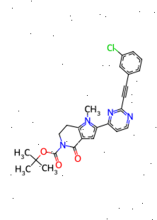 Cn1c(-c2ccnc(C#Cc3cccc(Cl)c3)n2)cc2c1CCN(C(=O)OC(C)(C)C)C2=O